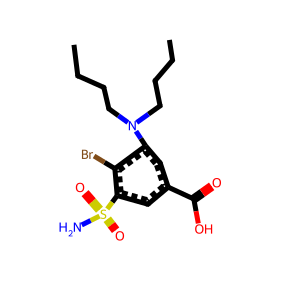 CCCCN(CCCC)c1cc(C(=O)O)cc(S(N)(=O)=O)c1Br